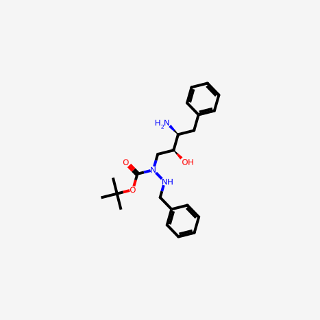 CC(C)(C)OC(=O)N(C[C@H](O)[C@@H](N)Cc1ccccc1)NCc1ccccc1